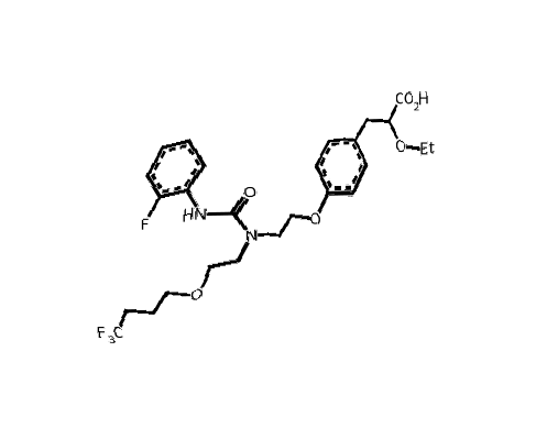 CCOC(Cc1ccc(OCCN(CCOCCCC(F)(F)F)C(=O)Nc2ccccc2F)cc1)C(=O)O